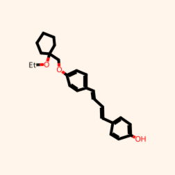 CCOC1(COc2ccc(C=CC=Cc3ccc(O)cc3)cc2)CCCCC1